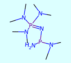 CN(C)P(N)N=P(N(C)C)(N(C)C)N(C)C